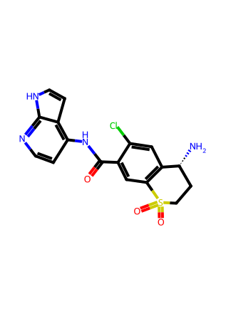 N[C@@H]1CCS(=O)(=O)c2cc(C(=O)Nc3ccnc4[nH]ccc34)c(Cl)cc21